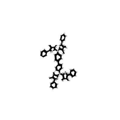 Cc1c(-c2ccccc2)sc(N(c2ccc(-c3ccc(N(c4sc(-c5ccccc5)c(C)c4C)c4sc(-c5ccccc5)c(C)c4C)cc3)cc2)c2sc(-c3ccccc3)c(C)c2C)c1C